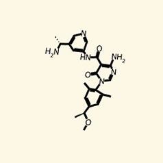 CO[C@@H](C)c1cc(C)c(-n2cnc(N)c(C(=O)Nc3cncc([C@@H](C)N)c3)c2=O)c(C)c1